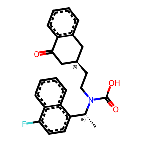 C[C@H](c1ccc(F)c2ccccc12)N(CC[C@H]1CC(=O)c2ccccc2C1)C(=O)O